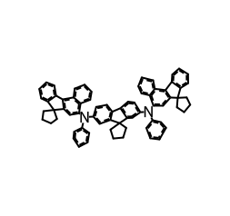 c1ccc(N(c2ccc3c(c2)C2(CCCC2)c2cc(N(c4ccccc4)c4cc5c(c6ccccc46)-c4ccccc4C54CCCC4)ccc2-3)c2cc3c(c4ccccc24)-c2ccccc2C32CCCC2)cc1